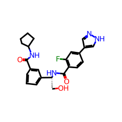 O=C(NC1CCCC1)c1cccc([C@@H](CO)NC(=O)c2ccc(-c3cn[nH]c3)cc2F)c1